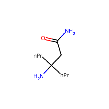 CCCC(N)(CCC)CC(N)=O